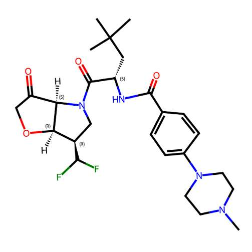 CN1CCN(c2ccc(C(=O)N[C@@H](CC(C)(C)C)C(=O)N3C[C@@H](C(F)F)[C@H]4OCC(=O)[C@H]43)cc2)CC1